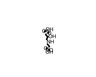 O=S(=O)(O)CCNCC(O)CS(=O)(=O)O